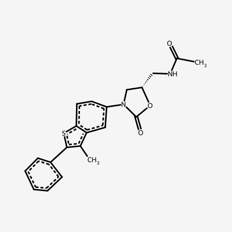 CC(=O)NC[C@H]1CN(c2ccc3sc(-c4ccccc4)c(C)c3c2)C(=O)O1